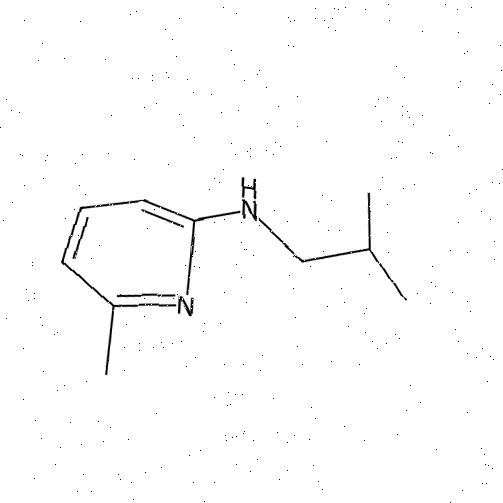 Cc1cccc(NCC(C)C)n1